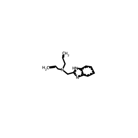 C=CCN(CC=C)Cc1nc2ccccc2[nH]1